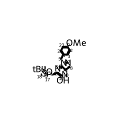 COc1ccc(Cn2ncc3nc(O)c(CO[Si](C)(C)C(C)(C)C)nc32)cc1